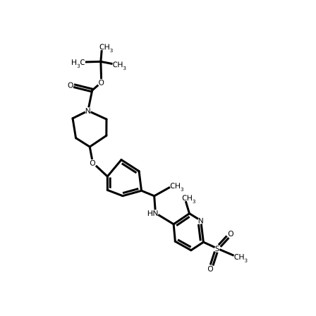 Cc1nc(S(C)(=O)=O)ccc1NC(C)c1ccc(OC2CCN(C(=O)OC(C)(C)C)CC2)cc1